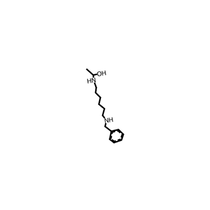 CC(O)NCCCCCCNCc1ccccc1